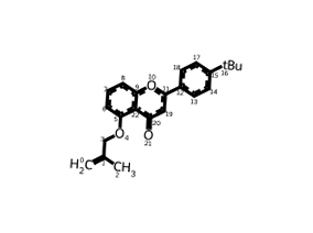 C=C(C)COc1cccc2oc(-c3ccc(C(C)(C)C)cc3)cc(=O)c12